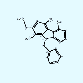 COc1cccc2c1c1c(C)cc(CC(=O)O)c(SC)c1n2Cc1ccccc1